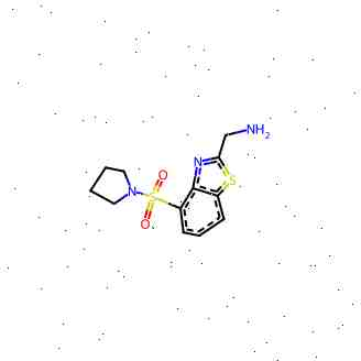 NCc1nc2c(S(=O)(=O)N3CCCC3)cccc2s1